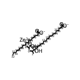 C=C(C)C(=O)O.C=C(C)C(=O)O.CCCCCCCCCCCCCCCCCC(=O)[O-].CCCCCCCCCCCCCCCCCC(=O)[O-].[Zn+2]